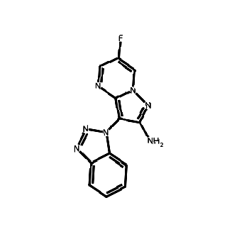 Nc1nn2cc(F)cnc2c1-n1nnc2ccccc21